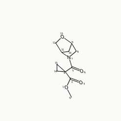 COC(=O)C1(C(=O)N2CC3CC2CO3)CC1